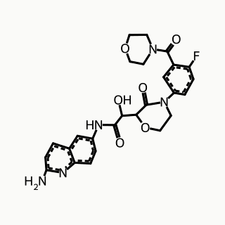 Nc1ccc2cc(NC(=O)C(O)C3OCCN(c4ccc(F)c(C(=O)N5CCOCC5)c4)C3=O)ccc2n1